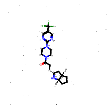 O=C(CC[C@@H]1C[C@@H]2CCC[C@@H]2N1)N1CCN(c2ncc(C(F)(F)F)cn2)CC1